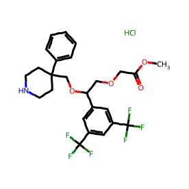 COC(=O)COCC(OCC1(c2ccccc2)CCNCC1)c1cc(C(F)(F)F)cc(C(F)(F)F)c1.Cl